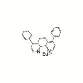 [Eu+3].c1ccc(-c2ccnc3c2ccc2c(-c4ccccc4)ccnc23)cc1